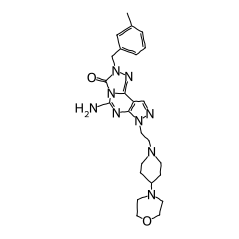 Cc1cccc(Cn2nc3c4cnn(CCN5CCC(N6CCOCC6)CC5)c4nc(N)n3c2=O)c1